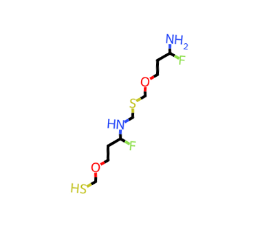 NC(F)CCOCSCNC(F)CCOCS